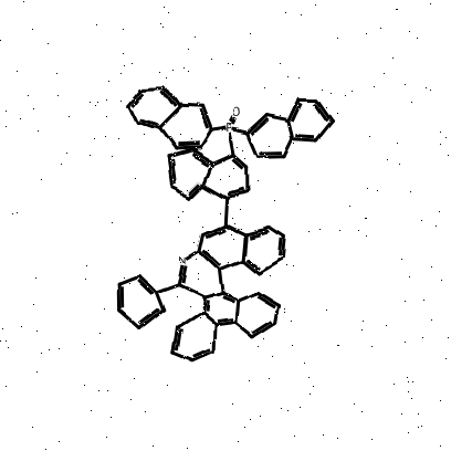 O=P(c1ccc2ccccc2c1)(c1ccc2ccccc2c1)c1ccc(-c2cc3nc(-c4ccccc4)c4c5ccccc5c5ccccc5c4c3c3ccccc23)c2ccccc12